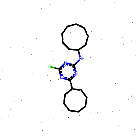 Clc1nc(NC2CCCCCCCC2)nc(C2CCCCCCC2)n1